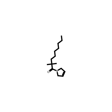 CCCCCCCC(C)(C)C(=O)N1CC=CC1